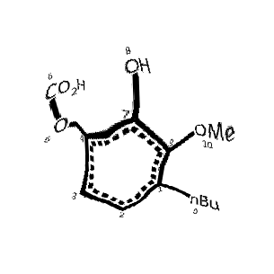 CCCCc1ccc(OC(=O)O)c(O)c1OC